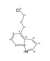 ClCCCc1cccc2ncccc12